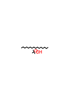 CC(C)(C)OO.CCCCCCCCCCCCCCCC